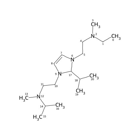 CCN(C)CCN1C=CN(CCN(C)C(C)C)C1C(C)C